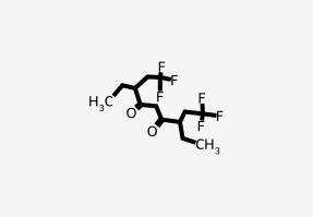 CCC(CC(F)(F)F)C(=O)CC(=O)C(CC)CC(F)(F)F